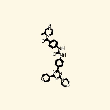 CC1CN(C)CCN1C(=O)c1ccc(NC(=O)Nc2ccc(-c3nc(C4CCOCC4)nc(N4CCOCC4)n3)cc2)cc1